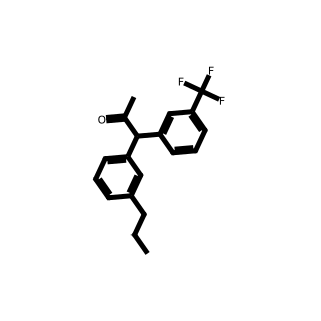 C[CH]Cc1cccc(C(C(C)=O)c2cccc(C(F)(F)F)c2)c1